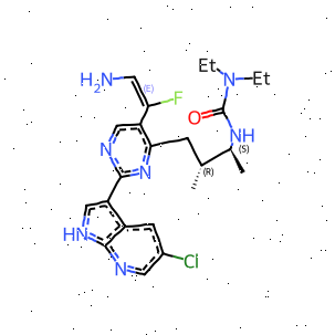 CCN(CC)C(=O)N[C@@H](C)[C@H](C)Cc1nc(-c2c[nH]c3ncc(Cl)cc23)ncc1/C(F)=C\N